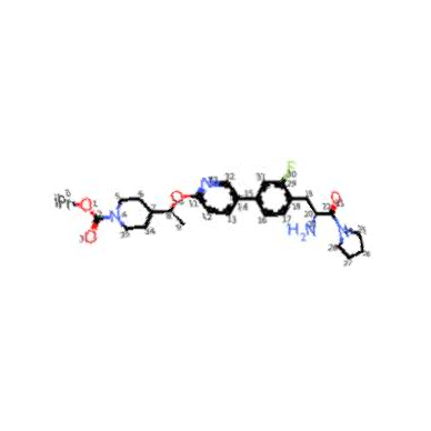 CC(C)OC(=O)N1CCC([C@H](C)Oc2ccc(-c3ccc(C[C@H](N)C(=O)N4CCCC4)c(F)c3)cn2)CC1